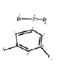 [Br][Zn][Br].[CH2]c1cccc(F)c1